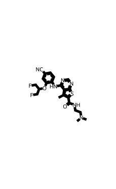 Cc1c(C(=O)NCCN(C)C)sc2ncnc(Nc3ccc(C#N)cc3OC(CF)CF)c12